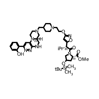 COC(=O)[C@@H]1CC(O[Si](C)(C)C(C)(C)C)CN1C(=O)[C@@H](c1cc(OCCN2CCC(CN3CCN4c5cc(-c6ccccc6O)nnc5NC[C@H]4C3)CC2)no1)C(C)C